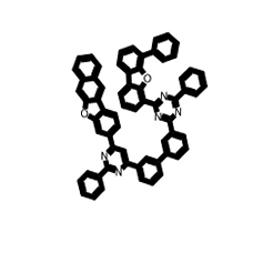 c1ccc(-c2nc(-c3cccc(-c4cccc(-c5nc(-c6ccccc6)nc(-c6cccc7c6oc6c(-c8ccccc8)cccc67)n5)c4)c3)cc(-c3ccc4c(c3)oc3cc5ccccc5cc34)n2)cc1